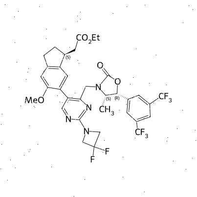 CCOC(=O)C[C@@H]1CCc2cc(OC)c(-c3cnc(N4CC(F)(F)C4)nc3CN3C(=O)O[C@H](c4cc(C(F)(F)F)cc(C(F)(F)F)c4)[C@@H]3C)cc21